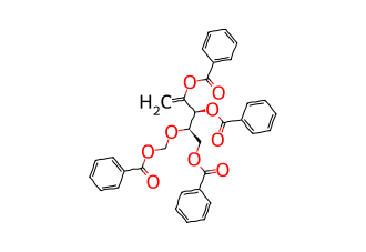 C=C(OC(=O)c1ccccc1)[C@@H](OC(=O)c1ccccc1)[C@@H](COC(=O)c1ccccc1)OCOC(=O)c1ccccc1